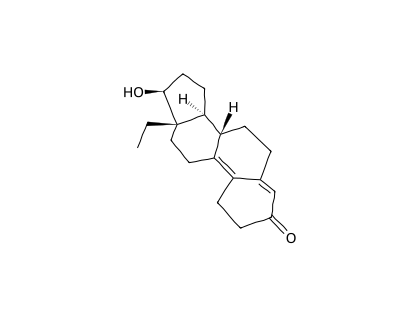 CC[C@]12CCC3=C4CCC(=O)C=C4CC[C@H]3[C@@H]1CC[C@@H]2O